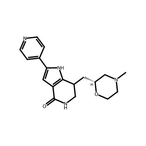 CN1CCO[C@H](CC2CNC(=O)c3cc(-c4ccncc4)[nH]c32)C1